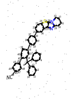 CC(c1ccccc1)(c1ccccc1)c1cc(-c2ccc(-c3ccc4sc5c(nc6ccccn65)c4c3)cc2)ccc1-c1ccc(C#N)cc1